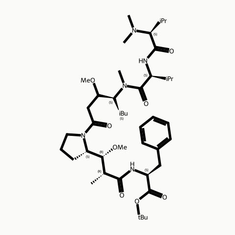 CC[C@H](C)[C@@H](C(CC(=O)N1CCC[C@H]1[C@H](OC)[C@@H](C)C(=O)N[C@@H](Cc1ccccc1)C(=O)OC(C)(C)C)OC)N(C)C(=O)[C@@H](NC(=O)[C@H](C(C)C)N(C)C)C(C)C